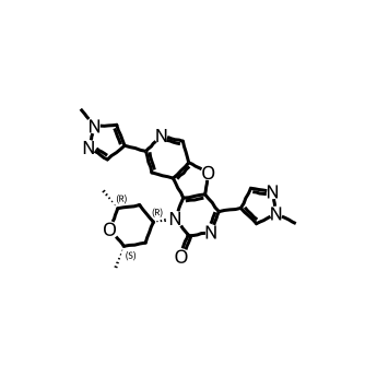 C[C@@H]1C[C@H](n2c(=O)nc(-c3cnn(C)c3)c3oc4cnc(-c5cnn(C)c5)cc4c32)C[C@H](C)O1